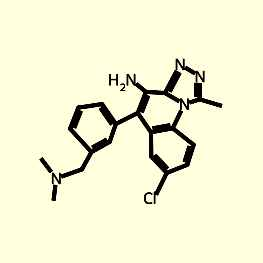 Cc1nnc2c(N)c(-c3cccc(CN(C)C)c3)c3cc(Cl)ccc3n12